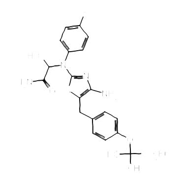 CCOC(=O)C(C)(C)Oc1ccc(Cc2sc(N(c3ccc(F)cc3)C(C)C(N)=O)nc2N)cc1